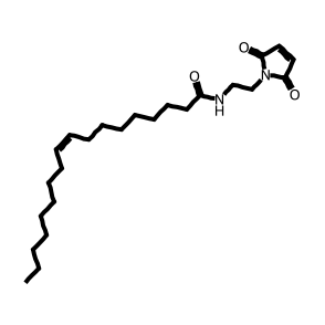 CCCCCCCC/C=C\CCCCCCCC(=O)NCCN1C(=O)C=CC1=O